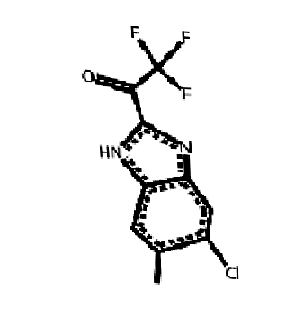 Cc1cc2[nH]c(C(=O)C(F)(F)F)nc2cc1Cl